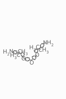 CC(C)(c1ccc(N)cc1)c1cccc(Oc2ccc(C(=O)c3ccc(Oc4cccc(C(C)(C)c5ccc(N)cc5)c4)cc3)cc2)c1